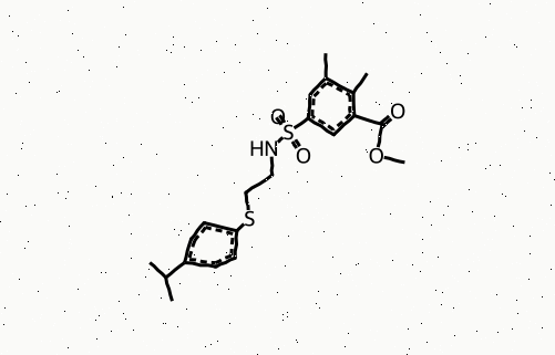 COC(=O)c1cc(S(=O)(=O)NCCSc2ccc(C(C)C)cc2)cc(C)c1C